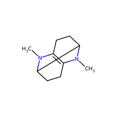 CN1C2=C3CCC1C(CC2)N3C